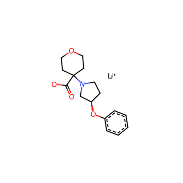 O=C([O-])C1(N2CC[C@@H](Oc3ccccc3)C2)CCOCC1.[Li+]